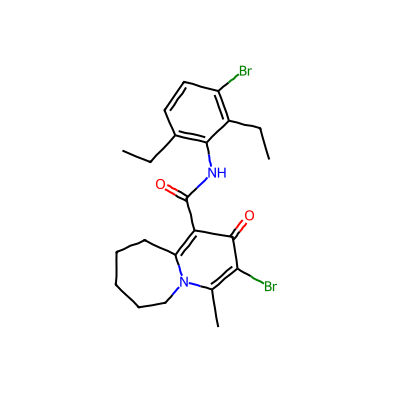 CCc1ccc(Br)c(CC)c1NC(=O)c1c2n(c(C)c(Br)c1=O)CCCCC2